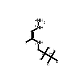 C/C(=C/NN)NCC(C)(C)C(C)(C)C